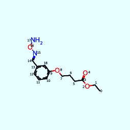 CCOC(=O)CCCOc1cccc(C=NON)c1